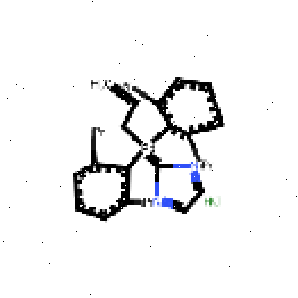 C=C[CH2][Pd](=[C]1N=CC=N1)([c]1c(C(C)C)cccc1C(C)C)[c]1c(C(C)C)cccc1C(C)C.Cl